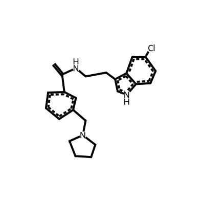 C=C(NCCc1c[nH]c2ccc(Cl)cc12)c1cccc(CN2CCCC2)c1